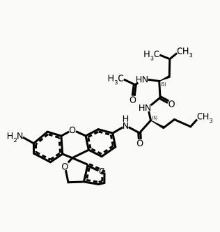 CCCC[C@H](NC(=O)[C@H](CC(C)C)NC(C)=O)C(=O)Nc1ccc2c(c1)Oc1cc(N)ccc1C21OCc2ccccc21